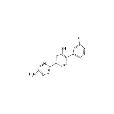 Nc1cnc(-c2ccc(-c3cccc(F)c3)c(S)c2)cn1